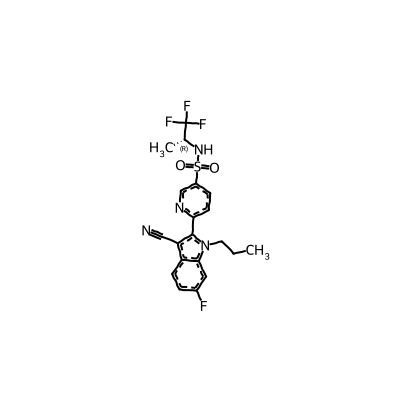 CCCn1c(-c2ccc(S(=O)(=O)N[C@H](C)C(F)(F)F)cn2)c(C#N)c2ccc(F)cc21